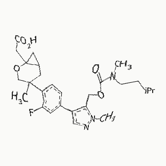 CC(C)CCN(C)C(=O)OCc1c(-c2ccc(C3(C)COC4(CC(=O)O)CC4C3)c(F)c2)cnn1C